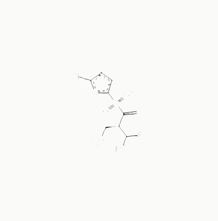 C=C([C@H](CO)C(CC)CC)S(=O)(=O)c1ccc(Cl)s1